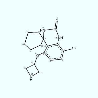 O=C1Nc2c(F)ccc(OC3CNC3)c2C2(CCCCC2)N1